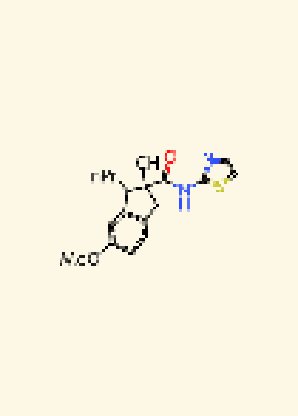 CCCC1c2cc(OC)ccc2CC1(C)C(=O)Nc1nccs1